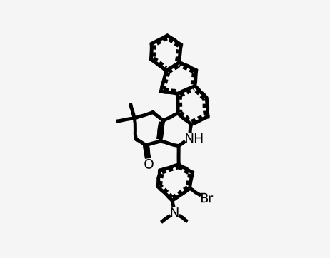 CN(C)c1ccc(C2Nc3ccc4cc5ccccc5cc4c3C3=C2C(=O)CC(C)(C)C3)cc1Br